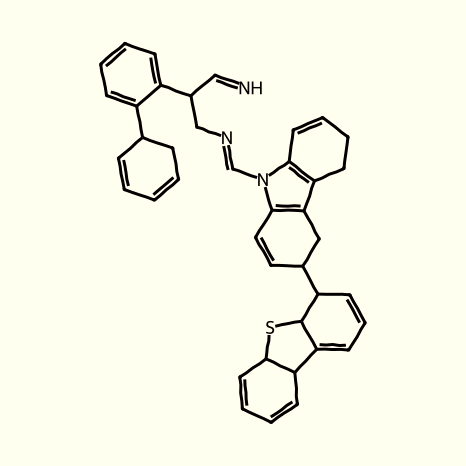 N=CC(C/N=C/n1c2c(c3c1C=CC(C1C=CC=C4C5C=CC=CC5SC41)C3)CCC=C2)c1ccccc1C1C=CC=CC1